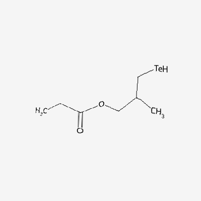 CCC(=O)OCC(C)C[TeH]